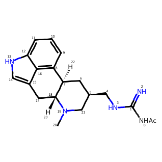 CC(=O)NC(=N)NC[C@@H]1C[C@@H]2c3cccc4[nH]cc(c34)C[C@H]2N(C)C1